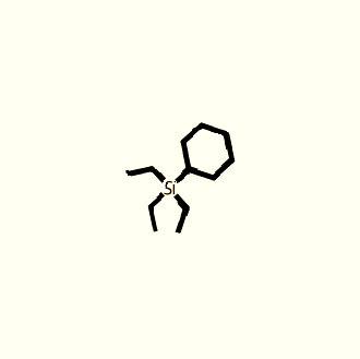 CC[Si](CC)(CC)[C]1CCCCC1